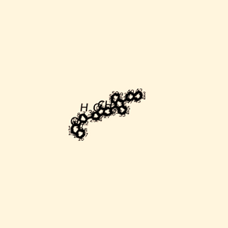 CC1(C)c2cc(-c3ccc4oc5ccc6ccccc6c5c4c3)ccc2-c2ccc(-c3c4ccccc4c(-c4ccc5ccccc5c4)c4ccccc34)cc21